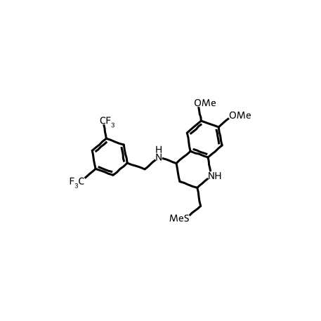 COc1cc2c(cc1OC)C(NCc1cc(C(F)(F)F)cc(C(F)(F)F)c1)CC(CSC)N2